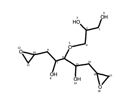 OCC(O)COC(C(O)CC1CO1)C(O)CC1CO1